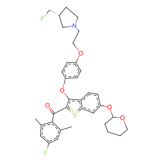 Cc1cc(F)cc(C)c1C(=O)c1sc2cc(OC3CCCCO3)ccc2c1Oc1ccc(OCCN2CC[C@@H](CF)C2)cc1